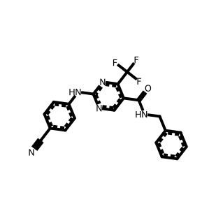 N#Cc1ccc(Nc2ncc(C(=O)NCc3ccccc3)c(C(F)(F)F)n2)cc1